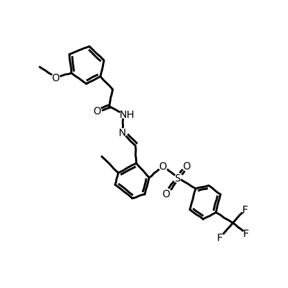 COc1cccc(CC(=O)NN=Cc2c(C)cccc2OS(=O)(=O)c2ccc(C(F)(F)F)cc2)c1